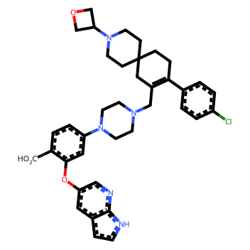 O=C(O)c1ccc(N2CCN(CC3=C(c4ccc(Cl)cc4)CCC4(CCN(C5COC5)CC4)C3)CC2)cc1Oc1cnc2[nH]ccc2c1